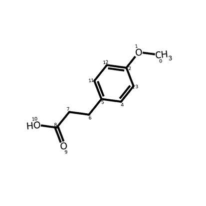 COc1[c]cc(CCC(=O)O)cc1